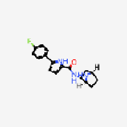 O=C(N[C@@H]1C[C@H]2CC[C@@H]1N2)c1ccc(-c2ccc(F)cc2)[nH]1